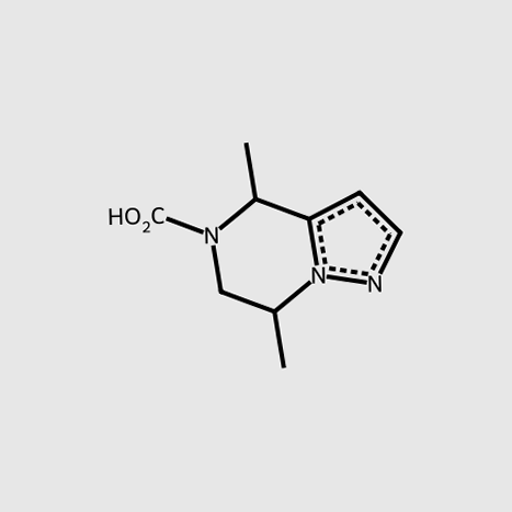 CC1c2ccnn2C(C)CN1C(=O)O